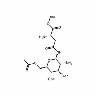 C=C(C)OC[C@H]1O[C@@H](NC(=O)C[C@H](N)C(=O)OC(C)(C)C)[C@H](N)[C@@H](OC(C)=O)[C@@H]1OC(C)=O